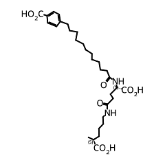 C[C@@H](CCCCNC(=O)CC[C@H](NC(=O)CCCCCCCCCCCc1ccc(C(=O)O)cc1)C(=O)O)C(=O)O